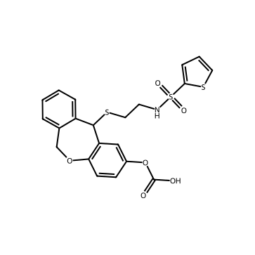 O=C(O)Oc1ccc2c(c1)C(SCCNS(=O)(=O)c1cccs1)c1ccccc1CO2